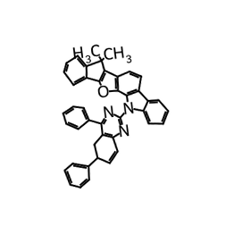 CC1(C)c2ccccc2-c2oc3c(ccc4c5ccccc5n(-c5nc6c(c(-c7ccccc7)n5)CC(c5ccccc5)C=C6)c43)c21